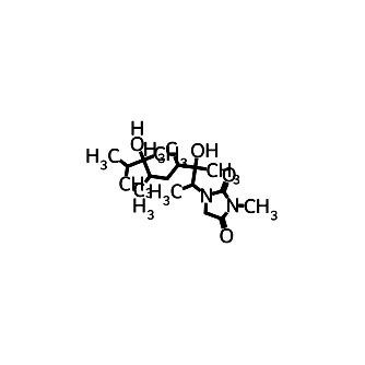 CC(C)C(C)(O)C(C)CC(C)C(C)(O)C(C)N1CC(=O)N(C)C1=O